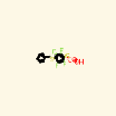 OOOSc1c(F)c(F)c(SCc2ccccc2)c(F)c1F